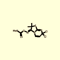 CNC(=O)ON=C1N2C=CC(Cl)(Cl)N=C2SC1(C)C